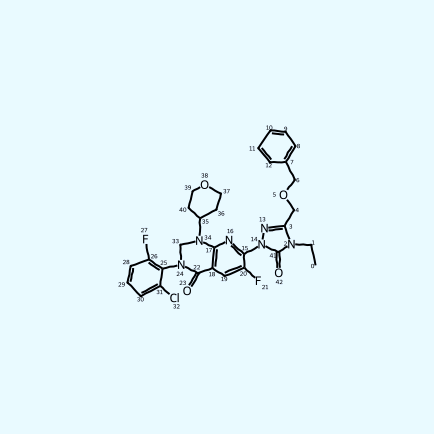 CCn1c(COCc2ccccc2)nn(-c2nc3c(cc2F)C(=O)N(c2c(F)cccc2Cl)CN3C2CCOCC2)c1=O